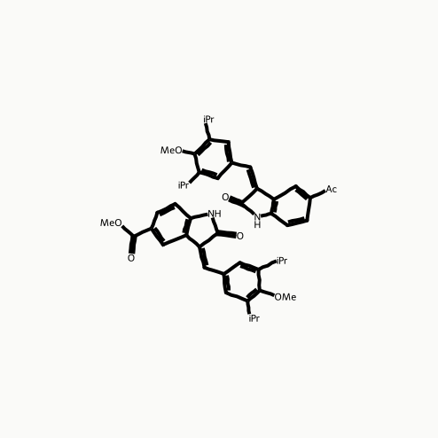 COC(=O)c1ccc2c(c1)C(=Cc1cc(C(C)C)c(OC)c(C(C)C)c1)C(=O)N2.COc1c(C(C)C)cc(C=C2C(=O)Nc3ccc(C(C)=O)cc32)cc1C(C)C